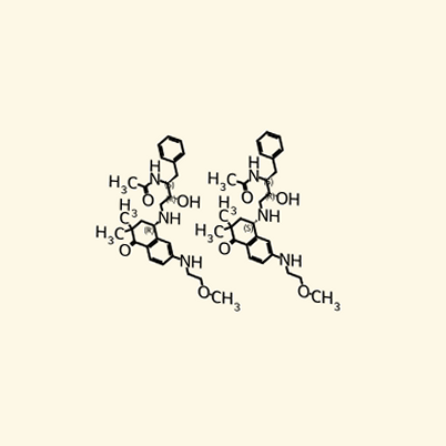 COCCNc1ccc2c(c1)[C@@H](NC[C@@H](O)[C@H](Cc1ccccc1)NC(C)=O)CC(C)(C)C2=O.COCCNc1ccc2c(c1)[C@H](NC[C@@H](O)[C@H](Cc1ccccc1)NC(C)=O)CC(C)(C)C2=O